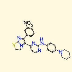 O=[N+]([O-])c1cccc(-c2nc3n(c2-c2ccnc(Nc4ccc(N5CCCCC5)cc4)n2)CCS3)c1